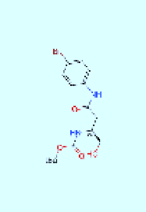 CC(C)(C)OC(=O)N[C@H](CO)CC(=O)Nc1ccc(Br)cc1